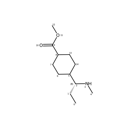 CC[C@@H](NC)C1CCC(C(=O)OC)CC1